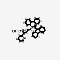 O=CNC(=CCCN(C(=O)C1c2ccccc2-c2ccccc21)c1ccccc1-c1ccccc1)c1ccccn1